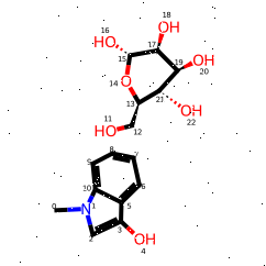 Cn1cc(O)c2ccccc21.OC[C@H]1O[C@H](O)[C@@H](O)[C@@H](O)[C@@H]1O